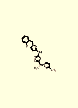 Cc1ccn([C@H](C)c2nnc(Nc3ccn(Cc4ncccc4F)n3)s2)n1